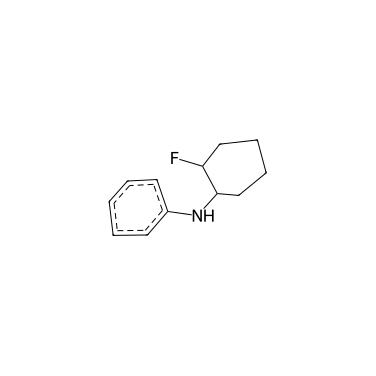 FC1CCCCC1Nc1ccccc1